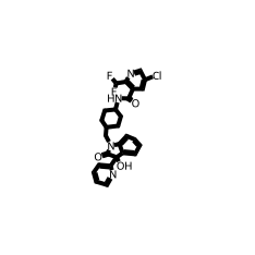 O=C(NC1CCC(CN2C(=O)C(O)(c3ccccn3)c3ccccc32)CC1)c1cc(Cl)cnc1C(F)F